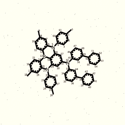 Cc1ccc(N2c3cc(C)ccc3B3c4ccc(C)cc4N(c4ccc(C)cc4)c4cc(N(c5cccc(-c6ccccc6)c5)c5cccc(-c6ccccc6)c5)cc2c43)cc1